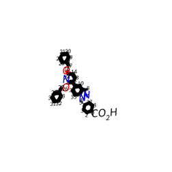 O=C(O)[C@H]1CC[C@H](Cn2ncc3cc(-c4ccc(OCc5ccccc5)nc4OCc4ccccc4)ccc32)CC1